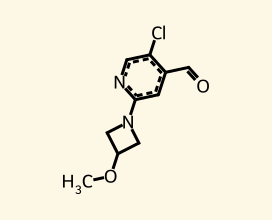 COC1CN(c2cc(C=O)c(Cl)cn2)C1